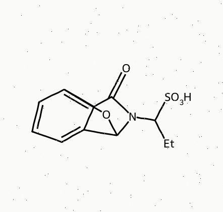 CCC(N1C(=O)c2c3cccc2C1O3)S(=O)(=O)O